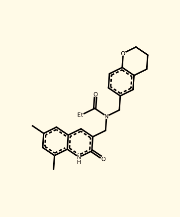 CCC(=O)N(Cc1ccc2c(c1)CCCO2)Cc1cc2cc(C)cc(C)c2[nH]c1=O